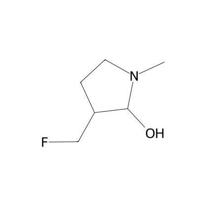 CN1CCC(CF)C1O